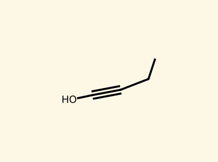 CCC#CO